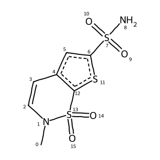 CN1C=Cc2cc(S(N)(=O)=O)sc2S1(=O)=O